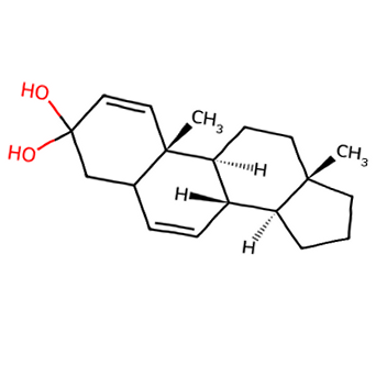 C[C@@]12CCC[C@H]1[C@@H]1C=CC3CC(O)(O)C=C[C@]3(C)[C@H]1CC2